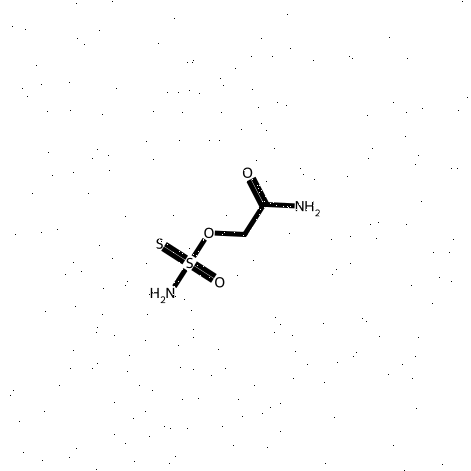 NC(=O)COS(N)(=O)=S